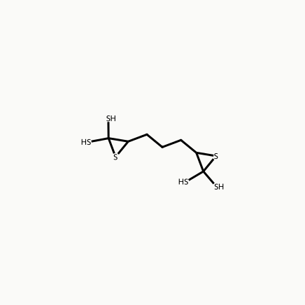 SC1(S)SC1CCCC1SC1(S)S